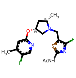 CC(=O)Nc1nc(F)c(CN2C[C@H](Oc3cc(C)c(F)cn3)C[C@@H]2C)s1